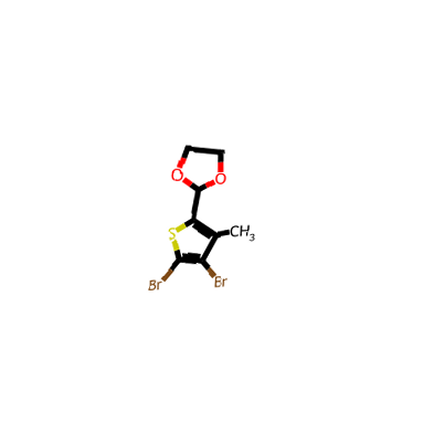 Cc1c(C2OCCO2)sc(Br)c1Br